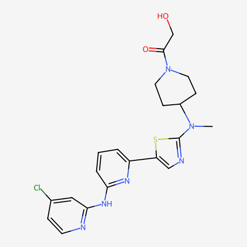 CN(c1ncc(-c2cccc(Nc3cc(Cl)ccn3)n2)s1)C1CCN(C(=O)CO)CC1